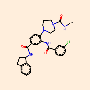 CCNC(=O)N1CCCN(c2ccc(C(=O)NC3CCc4ccccc43)cc2NC(=O)c2cccc(Cl)c2)CC1